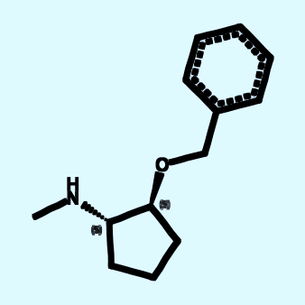 CN[C@H]1CCC[C@@H]1OCc1ccccc1